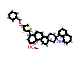 CO.NC1(c2cccc3ccccc23)CCc2c(ccc3c2ccc2c(-c4cc(OCc5ccccc5)cs4)cccc23)C1